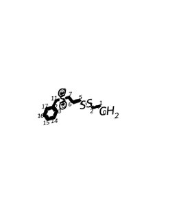 C=CCSS/C=C/CS(=O)(=O)Cc1ccccc1